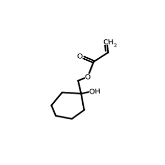 C=CC(=O)OCC1(O)CCCCC1